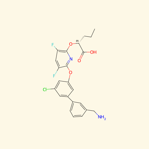 CCC[C@@H](Oc1nc(Oc2cc(Cl)cc(-c3cccc(CN)c3)c2)c(F)cc1F)C(=O)O